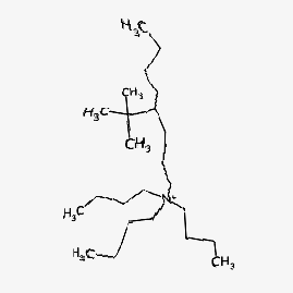 CCCCC(CCC[N+](CCCC)(CCCC)CCCC)C(C)(C)C